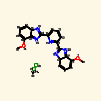 COC1=CC=CC2N=C(c3cccc(C4=NC5C=CC=C(OC)C5=N4)n3)N=C12.[Cl-].[Cl-].[V+2]